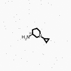 N[C@H]1CCCN(C2CC2)C1